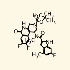 Cc1cc(F)cc2[nH]c(C(=O)N(C)[C@H]3CN(C(=O)OC(C)(C)C)Cc4[nH]c(=O)c5cc(F)c(F)cc5c43)cc12